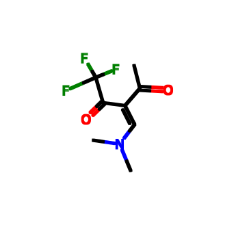 CC(=O)C(=CN(C)C)C(=O)C(F)(F)F